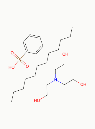 CCCCCCCCCCCC.O=S(=O)(O)c1ccccc1.OCCN(CCO)CCO